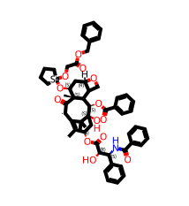 CC1=C2[CH]C(=O)[C@@]3(C)C([C]4CO[C@@H]4C[C@@H]3O[Si]3(OCC(=O)OCc4ccccc4)CCCC3)[C@H](OC(=O)c3ccccc3)[C@](O)(C[C@@H]1OC(=O)[C@H](O)[C@@H](NC(=O)c1ccccc1)c1ccccc1)C2(C)C